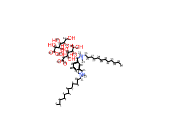 CCCCCCCCCCCC[N+](C)(C)Cc1cccc(C[N+](C)(C)CCCCCCCCCCCC)c1.O=C([O-])[C@H](O)[C@@H](O)[C@H](O)[C@H](O)CO.O=C([O-])[C@H](O)[C@@H](O)[C@H](O)[C@H](O)CO